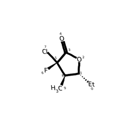 CC[C@H]1OC(=O)[C@@](F)(Cl)[C@@H]1C